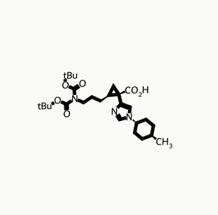 CC(C)(C)OC(=O)N(CCC[C@H]1C[C@]1(C(=O)O)c1cn([C@H]2CC[C@H](C)CC2)cn1)C(=O)OC(C)(C)C